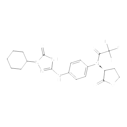 O=C1OCC[C@@H]1N(C(=O)C(F)(F)F)c1ccc(Nc2nn(C3CCCCC3)c(=O)[nH]2)cc1